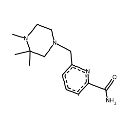 CN1CCN(Cc2cc[c]c(C(N)=O)n2)CC1(C)C